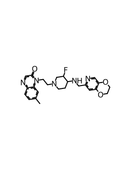 Cc1ccc2ncc(=O)n(CCN3CCC(NCc4cc5c(cn4)OCCO5)C(F)C3)c2c1